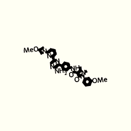 COc1cccc(-n2c(=O)c(C(=O)Nc3ccc(-c4nc(-c5cccc(N6CC(OC)C6)n5)cnc4N)cc3)c(C)n2C)c1